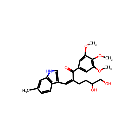 COc1cc(C(=O)C(=Cc2c[nH]c3cc(C)ccc23)CCC(O)CO)cc(OC)c1OC